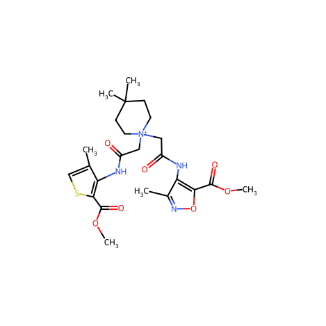 COC(=O)c1onc(C)c1NC(=O)C[N+]1(CC(=O)Nc2c(C)csc2C(=O)OC)CCC(C)(C)CC1